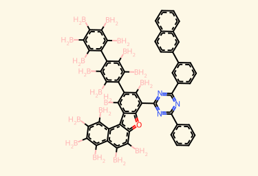 Bc1c(B)c(B)c(-c2c(B)c(B)c(-c3c(B)c(-c4nc(-c5ccccc5)nc(-c5cccc(-c6ccc7ccccc7c6)c5)n4)c4oc5c(B)c(B)c6c(B)c(B)c(B)c(B)c6c5c4c3B)c(B)c2B)c(B)c1B